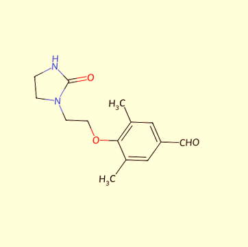 Cc1cc(C=O)cc(C)c1OCCN1CCNC1=O